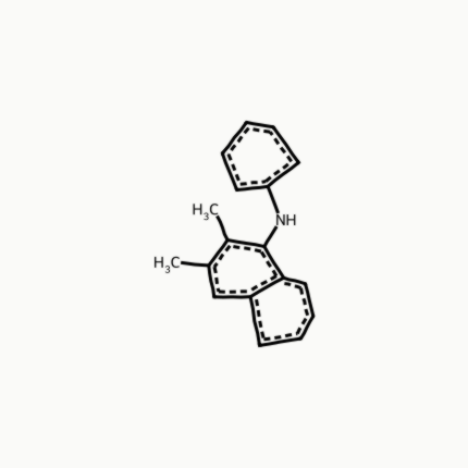 Cc1cc2ccccc2c(Nc2ccccc2)c1C